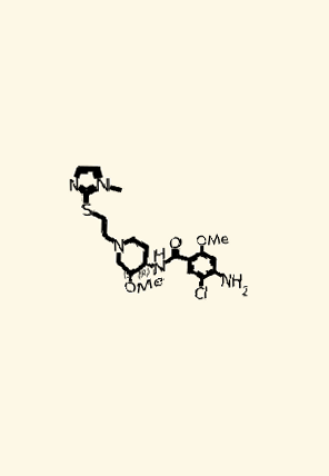 COc1cc(N)c(Cl)cc1C(=O)N[C@@H]1CCN(CCSc2nccn2C)C[C@@H]1OC